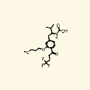 COCCCOc1cc(CC(NC(=O)O)C(C)C)ccc1C(=O)CCC(F)(F)F